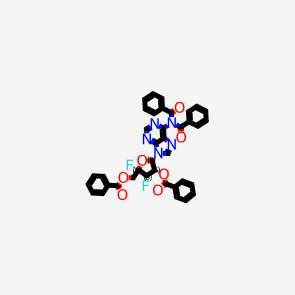 O=C(OC[C@@]1(F)O[C@@H](n2cnc3c(N(C(=O)c4ccccc4)C(=O)c4ccccc4)ncnc32)[C@H](OC(=O)c2ccccc2)[C@@H]1F)c1ccccc1